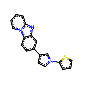 c1csc(-n2ccc(-c3ccc4c(c3)nc3ccccn34)c2)c1